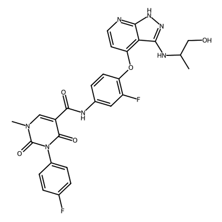 CC(CO)Nc1n[nH]c2nccc(Oc3ccc(NC(=O)c4cn(C)c(=O)n(-c5ccc(F)cc5)c4=O)cc3F)c12